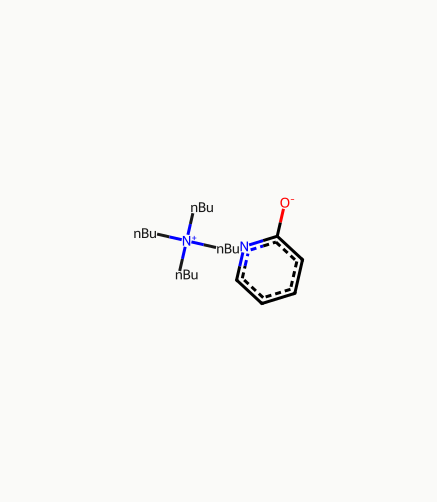 CCCC[N+](CCCC)(CCCC)CCCC.[O-]c1ccccn1